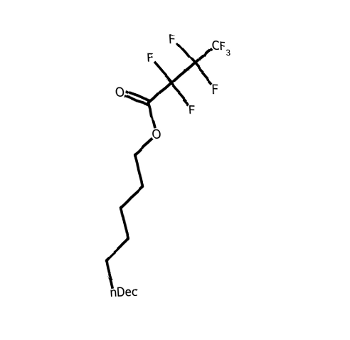 CCCCCCCCCCCCCCCOC(=O)C(F)(F)C(F)(F)C(F)(F)F